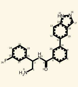 NCC(NC(=O)c1cccc(-c2ccc3[nH]ncc3c2)c1)c1cccc(F)c1